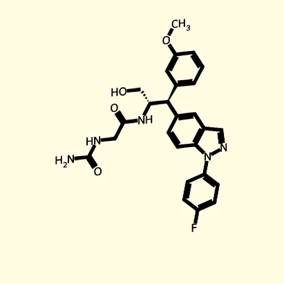 COc1cccc([C@@H](c2ccc3c(cnn3-c3ccc(F)cc3)c2)[C@@H](CO)NC(=O)CNC(N)=O)c1